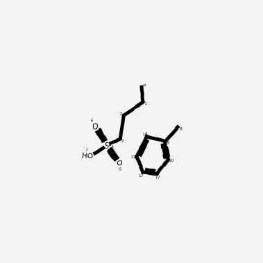 CCCCS(=O)(=O)O.Cc1ccccc1